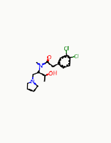 CC(O)C(CN1CCCC1)N(C)C(=O)Cc1ccc(Cl)c(Cl)c1